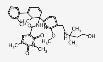 COc1nc(C2(NC(=O)c3cn(C)c(=O)n(C)c3=O)C=CC=C(c3ccccc3Cl)C2C)ccc1CNC(C)(C)CCO